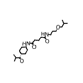 CC(C)COCCCNC(=O)CCCC(=O)N[C@H]1CC[C@H](C(=O)C(C)C)CC1